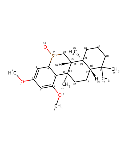 COC1=CC2C(C(OC)=C1)[C@]1(C)CC[C@H]3C(C)(C)CCC[C@]3(C)[C@H]1C[S+]2[O-]